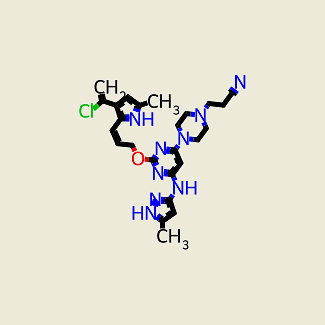 C=C(Cl)c1cc(C)[nH]c1/C=C\COc1nc(Nc2cc(C)[nH]n2)cc(N2CCN(CCC#N)CC2)n1